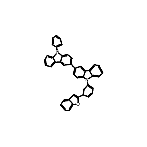 C1=CC(c2cc3ccccc3o2)CC(n2c3ccccc3c3cc(-c4ccc5c(c4)c4ccccc4n5-c4ccccc4)ccc32)=C1